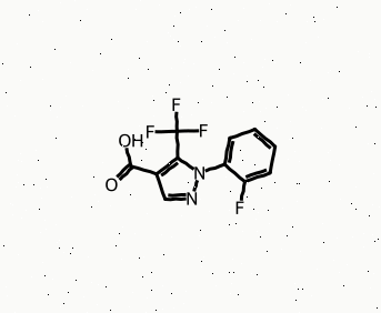 O=C(O)c1cnn(-c2ccccc2F)c1C(F)(F)F